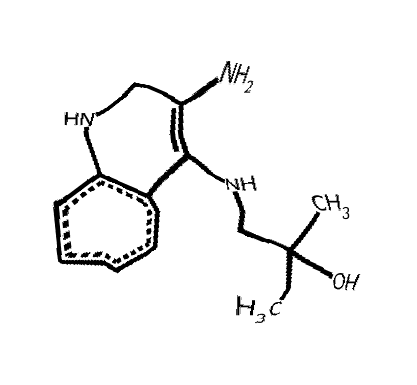 CC(C)(O)CNC1=C(N)CNc2ccccc21